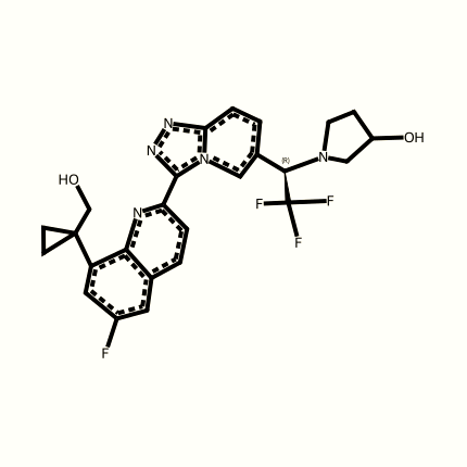 OCC1(c2cc(F)cc3ccc(-c4nnc5ccc([C@@H](N6CCC(O)C6)C(F)(F)F)cn45)nc23)CC1